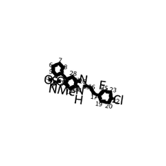 CNS(=O)(=O)c1ccccc1-c1ccc2[nH]c(C=Cc3ccc(Cl)cc3F)nc2c1